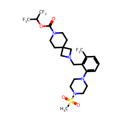 CS(=O)(=O)N1CCN(c2cccc(C(F)(F)F)c2CN2CC3(CCN(C(=O)OC(C(F)(F)F)C(F)(F)F)CC3)C2)CC1